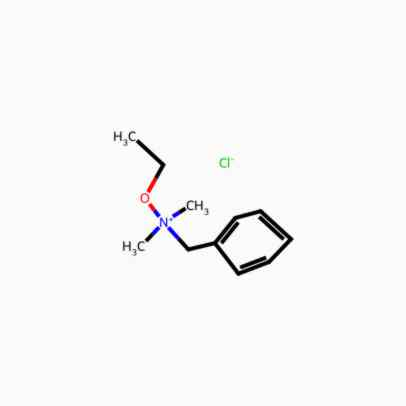 CCO[N+](C)(C)Cc1ccccc1.[Cl-]